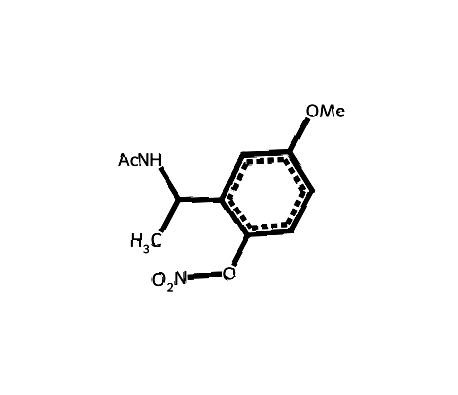 COc1ccc(O[N+](=O)[O-])c(C(C)NC(C)=O)c1